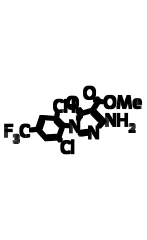 COC(=O)c1c(N)ncn(-c2c(C)cc(C(F)(F)F)cc2Cl)c1=O